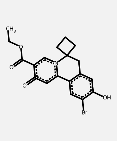 CCOC(=O)c1cn2c(cc1=O)-c1cc(Br)c(O)cc1CC21CCC1